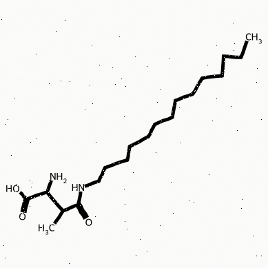 CCCCCCCCCCCCCCNC(=O)C(C)C(N)C(=O)O